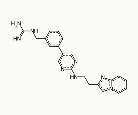 N=C(N)NCc1cccc(-c2cnc(NCCc3cn4ccccc4n3)nc2)c1